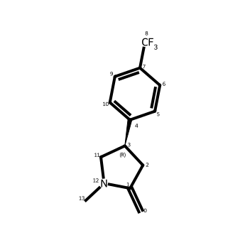 C=C1C[C@H](c2ccc(C(F)(F)F)cc2)CN1C